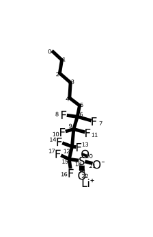 CCCCCCC(F)(F)C(F)(F)C(F)(F)C(F)(F)S(=O)(=O)[O-].[Li+]